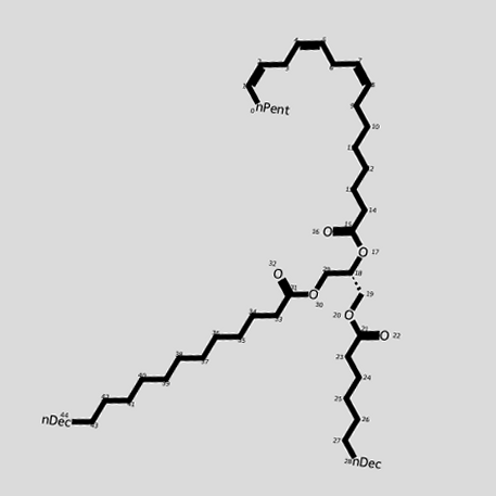 CCCCC/C=C\C/C=C\C/C=C\CCCCCCC(=O)O[C@H](COC(=O)CCCCCCCCCCCCCCC)COC(=O)CCCCCCCCCCCCCCCCCCCCC